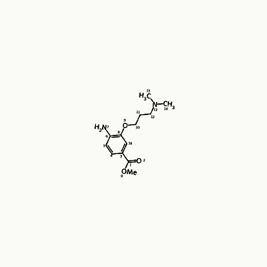 COC(=O)c1ccc(N)c(OCCCN(C)C)c1